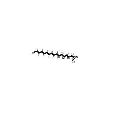 CCCCCCCCCCCCCCCC[S+](C)C